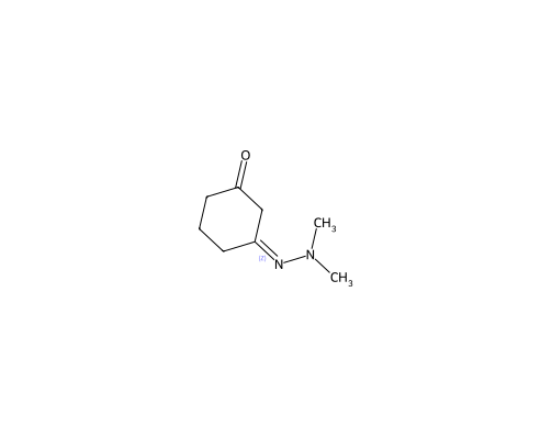 CN(C)/N=C1/CCCC(=O)C1